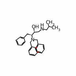 CC(C)CNC[C@H](O)[C@H](Cc1ccccc1)N(Cc1ccccc1)Cc1ccccc1